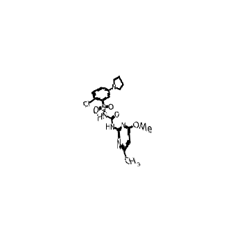 COc1cc(C)nc(NC(=O)NS(=O)(=O)c2cc(N3CCCC3)ccc2Cl)n1